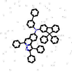 c1ccc(-c2cccc(N(c3ccc4c(c3)C(c3ccccc3)(c3ccccc3)c3ccccc3-4)c3ccc4c(c3)cc(-c3ccccc3)n3nc(-c5ccccc5)c(-c5ccccc5)c43)c2)cc1